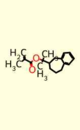 C=C(C)C(=O)OC(C)(C)C1CCCc2ccccc2C1